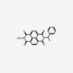 CCCN1C(=O)c2ccc3c4c(ccc(c24)C1=O)C(=O)N(C(C)c1ccccc1)C3=O